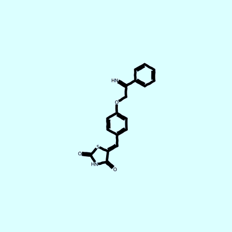 N=C(COc1ccc(/C=C2\SC(=O)NC2=O)cc1)c1ccccc1